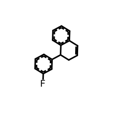 Fc1cccc(C2CC=Cc3ccccc32)c1